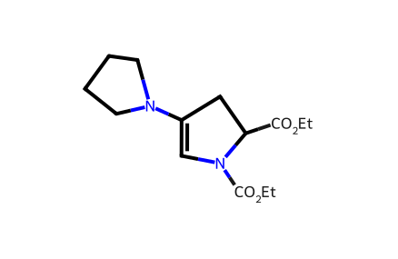 CCOC(=O)C1CC(N2CCCC2)=CN1C(=O)OCC